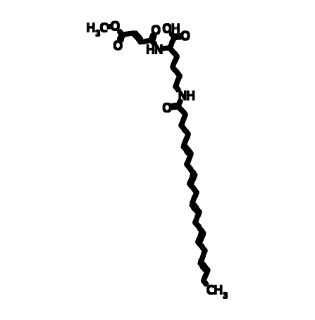 CCC=CCC=CCC=CCC=CCC=CCCCC(=O)NCCCCC(NC(=O)C=CC(=O)OC)C(=O)O